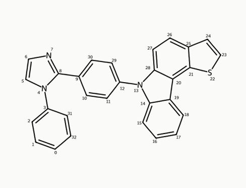 c1ccc(-n2ccnc2-c2ccc(-n3c4ccccc4c4c5sccc5ccc43)cc2)cc1